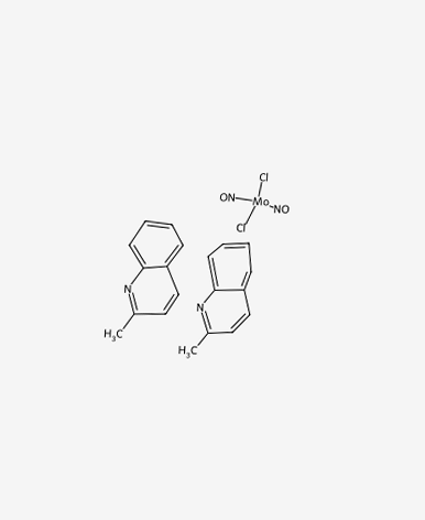 Cc1ccc2ccccc2n1.Cc1ccc2ccccc2n1.O=[N][Mo]([Cl])([Cl])[N]=O